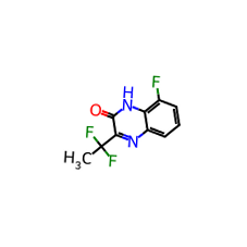 CC(F)(F)c1nc2cccc(F)c2[nH]c1=O